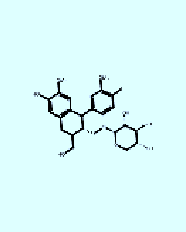 COc1cc2c(cc1O)CC(CO)[C@@H](CO[C@@H]1OC[C@@H](O)[C@H](O)[C@H]1O)C2c1ccc(F)c(OC)c1